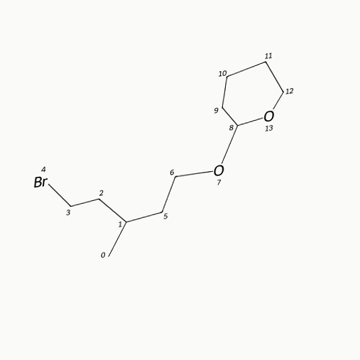 CC(CCBr)CCOC1CCCCO1